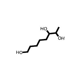 CC(O)C(O)CCCCCO